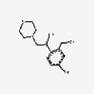 OCc1cc(S)ccc1C(O)CN1CCOCC1